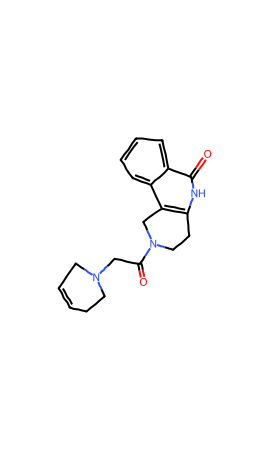 O=C(CN1CC=CCC1)N1CCc2[nH]c(=O)c3ccccc3c2C1